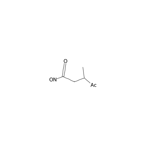 CC(=O)C(C)CC(=O)N=O